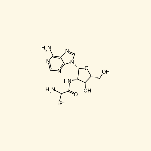 CC(C)C(N)C(=O)N[C@H]1C(O)[C@@H](CO)O[C@H]1n1cnc2c(N)ncnc21